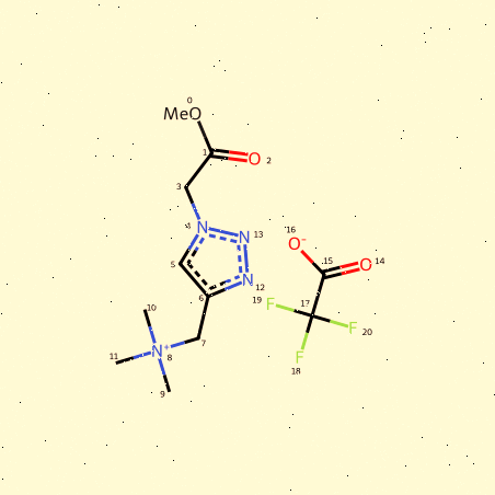 COC(=O)Cn1cc(C[N+](C)(C)C)nn1.O=C([O-])C(F)(F)F